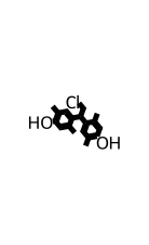 Cc1cc(C(CCl)c2cc(C)c(O)cc2C)c(C)cc1O